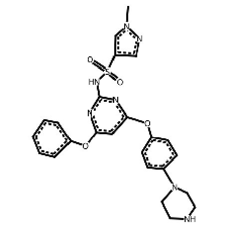 Cn1cc(S(=O)(=O)Nc2nc(Oc3ccccc3)cc(Oc3ccc(N4CCNCC4)cc3)n2)cn1